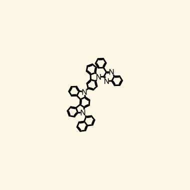 c1ccc(-c2nc3ccccc3nc2-n2c3ccccc3c3cc(-n4c5ccccc5c5c6c7ccccc7n(-c7cccc8ccccc78)c6ccc54)ccc32)cc1